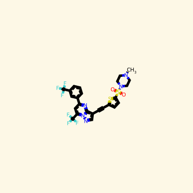 CN1CCN(S(=O)(=O)c2ccc(C#Cc3cnn4c(C(F)(F)F)cc(-c5cccc(C(F)(F)F)c5)nc34)s2)CC1